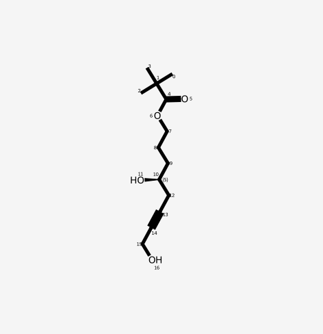 CC(C)(C)C(=O)OCCC[C@H](O)CC#CCO